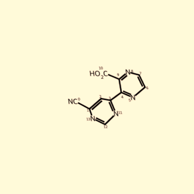 N#Cc1cc(-c2nccnc2C(=O)O)ncn1